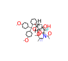 COc1ccc(C(O[C@]23C[C@H]2C[C@]2(O)[C@H](F)[C@H](N(/C=C(/C)C(C)=O)C(C)=O)O[C@@H]23)(c2ccccc2)c2ccc(OC)cc2)cc1